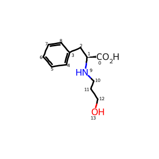 O=C(O)[C@H](Cc1ccccc1)NCCCO